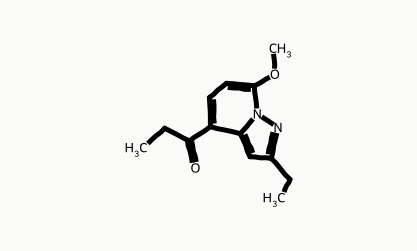 CCC(=O)c1ccc(OC)n2nc(CC)cc12